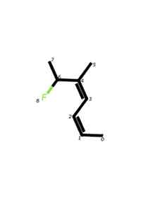 C/C=C\C=C(\C)C(C)F